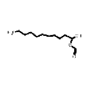 CCCCCCCCCCC(O)OC=O